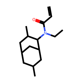 C=CC(=O)N(CC)C1C(C)CC2CC(C)CC1C2